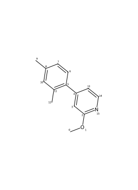 COc1cc(-c2ccc(C)cc2C)ccn1